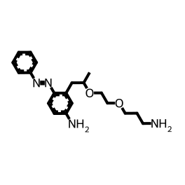 CC(Cc1cc(N)ccc1N=Nc1ccccc1)OCCOCCCN